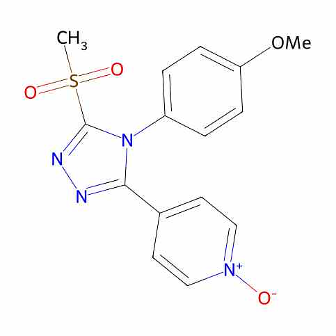 COc1ccc(-n2c(-c3cc[n+]([O-])cc3)nnc2S(C)(=O)=O)cc1